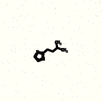 CC(C)CCn1nccn1